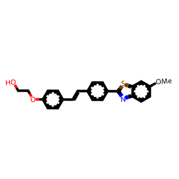 COc1ccc2nc(-c3ccc(/C=C/c4ccc(OCCO)cc4)cc3)sc2c1